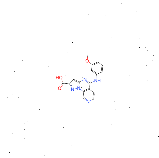 COc1cccc(Nc2nc3cc(C(=O)O)nn3c3cnccc23)c1